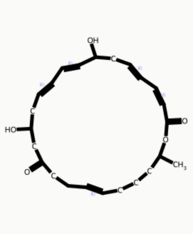 CC1CCC/C=C/CCC(=O)CC(O)C/C=C/C=C/C(O)C/C=C/C=C\C(=O)O1